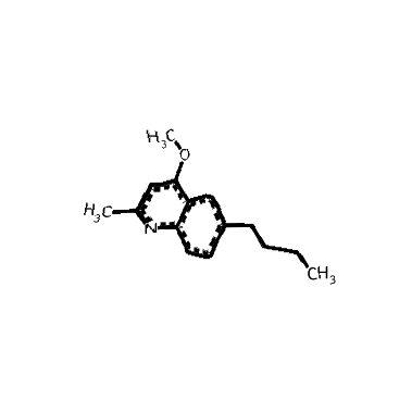 CCCCc1ccc2nc(C)cc(OC)c2c1